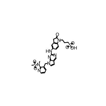 CN(c1ncccc1Cn1ccc2cnc(Nc3ccc4c(c3)CC(=O)N4CCCS(=O)(=O)O)nc21)S(C)(=O)=O